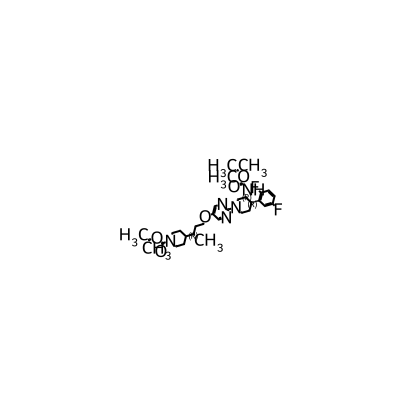 CC(C)OC(=O)N1CCC([C@H](C)CCOc2cnc(N3CC[C@H](c4cc(F)ccc4F)[C@@H](NC(=O)OC(C)(C)C)C3)nc2)CC1